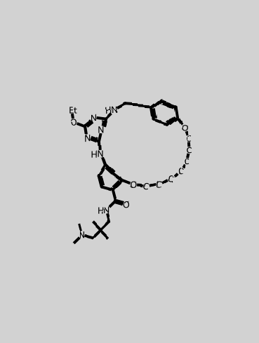 CCOc1nc2nc(n1)Nc1ccc(C(=O)NCC(C)(C)CN(C)C)c(c1)OCCCCCCCOc1ccc(cc1)CN2